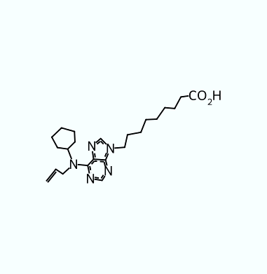 C=CCN(c1ncnc2c1ncn2CCCCCCCCC(=O)O)C1CCCCC1